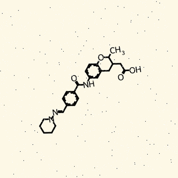 CC1Oc2ccc(NC(=O)c3ccc(C=NN4CCCCC4)cc3)cc2CC1CC(=O)O